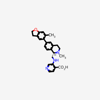 Cc1cc2c(cc1-c1ccc3c(c1)CCN(C)[C@@H]3CNc1cnccc1C(=O)O)CCO2